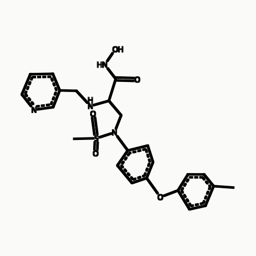 Cc1ccc(Oc2ccc(N(CC(NCc3cccnc3)C(=O)NO)S(C)(=O)=O)cc2)cc1